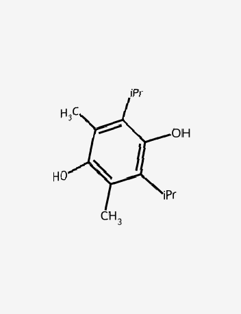 Cc1c(O)c(C)c(C(C)C)c(O)c1C(C)C